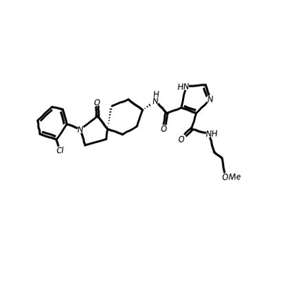 COCCNC(=O)c1nc[nH]c1C(=O)N[C@H]1CC[C@@]2(CCN(c3ccccc3Cl)C2=O)CC1